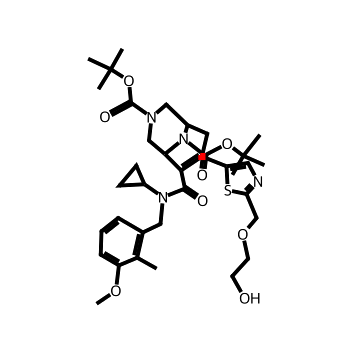 COc1cccc(CN(C(=O)C2=C(c3cnc(COCCO)s3)CC3CN(C(=O)OC(C)(C)C)CC2N3C(=O)OC(C)(C)C)C2CC2)c1C